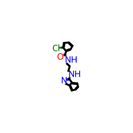 O=C(NCCCNC1=NCc2ccccc21)c1ccccc1Cl